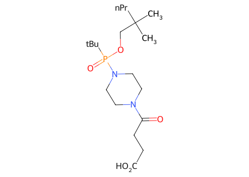 CCCC(C)(C)COP(=O)(N1CCN(C(=O)CCC(=O)O)CC1)C(C)(C)C